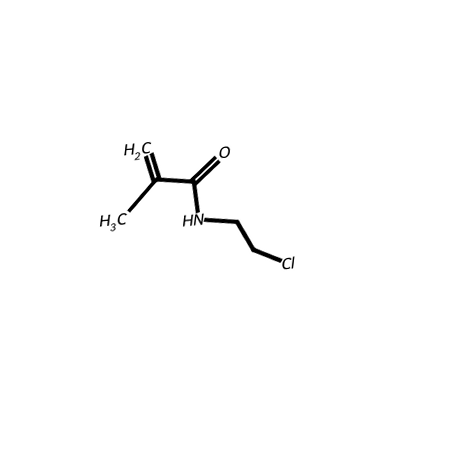 C=C(C)C(=O)NCCCl